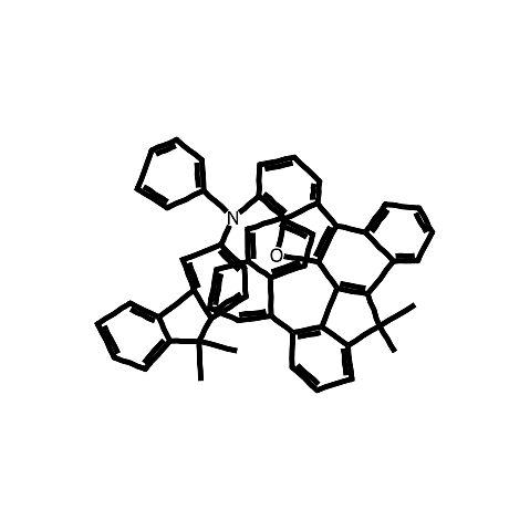 CC1(C)c2ccccc2-c2cc(N(c3ccccc3)c3cccc4c3oc3c5c(c6ccccc6c34)C(C)(C)c3cccc(-c4cccc6ccccc46)c3-5)ccc21